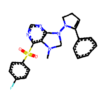 CN1CN(N2CCC=C2c2ccccc2)c2ncnc(S(=O)(=O)c3ccc(F)cc3)c21